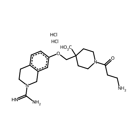 Cl.Cl.N=C(N)N1CCc2ccc(OCC3(C(=O)O)CCN(C(=O)CCN)CC3)cc2C1